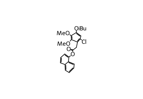 COc1c(OCC(C)C)cc(Cl)c(CC(=O)Oc2cccc3ccccc23)c1OC